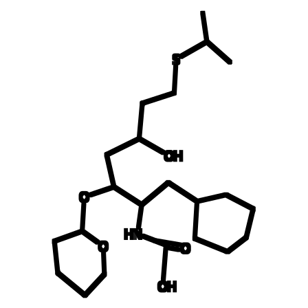 CC(C)SCCC(O)CC(OC1CCCCO1)C(CC1CCCCC1)NC(=O)O